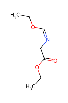 CCO/C=N\CC(=O)OCC